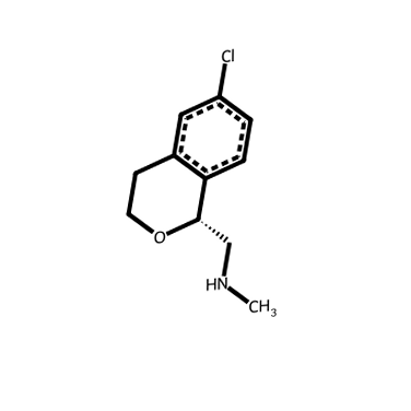 CNC[C@@H]1OCCc2cc(Cl)ccc21